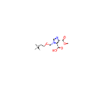 COC(=O)c1ncn(COCC[Si](C)(C)C)c1C(=O)O